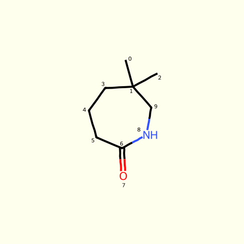 CC1(C)CCCC(=O)NC1